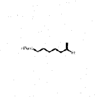 C=C(CC)CCCCCCCCCC